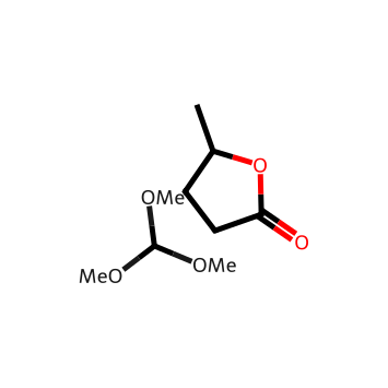 CC1CCC(=O)O1.COC(OC)OC